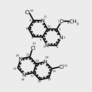 COc1ncnc2ccc(Cl)nc12.Clc1ccc2ncnc(Cl)c2n1